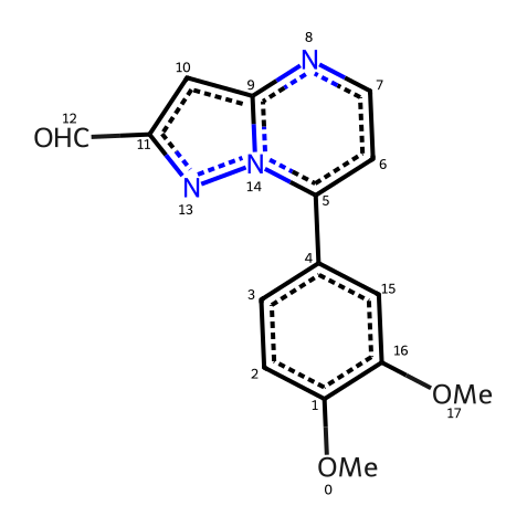 COc1ccc(-c2ccnc3cc(C=O)nn23)cc1OC